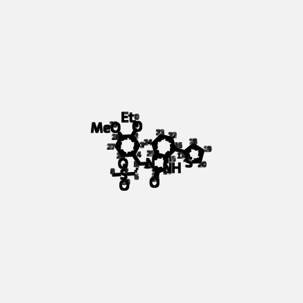 CCOc1cc([C@@H](CS(C)(=O)=O)n2c(=O)[nH]c3c(-c4cccs4)cccc32)ccc1OC